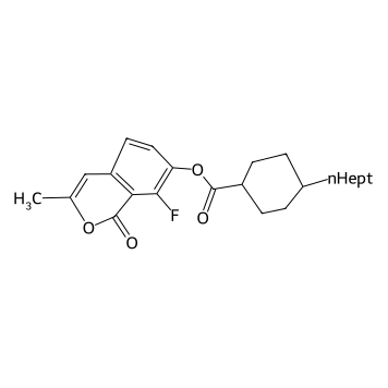 CCCCCCCC1CCC(C(=O)Oc2ccc3cc(C)oc(=O)c3c2F)CC1